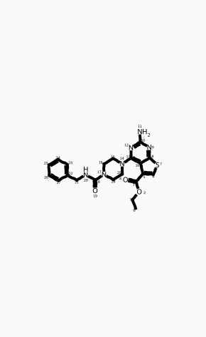 CCOC(=O)c1csc2nc(N)nc(N3CCN(C(=O)NCc4ccccc4)CC3)c12